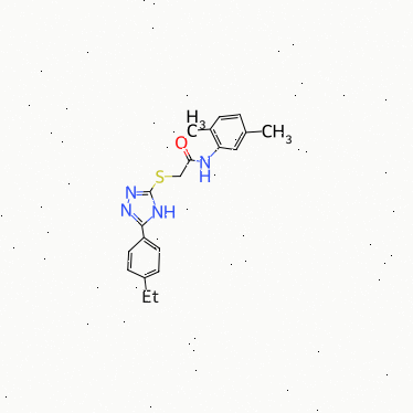 CCc1ccc(-c2nnc(SCC(=O)Nc3cc(C)ccc3C)[nH]2)cc1